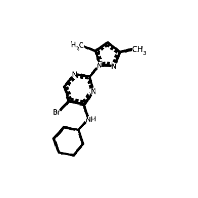 Cc1cc(C)n(-c2ncc(Br)c(NC3CCCCC3)n2)n1